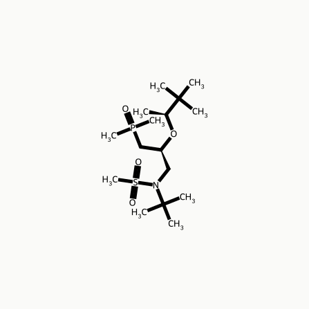 C[C@H](O[C@@H](CN(C(C)(C)C)S(C)(=O)=O)CP(C)(C)=O)C(C)(C)C